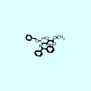 COC(=O)[C@H](O)[C@H](O)[C@@H](COCc1ccccc1)N=C(c1ccccc1)c1ccccc1